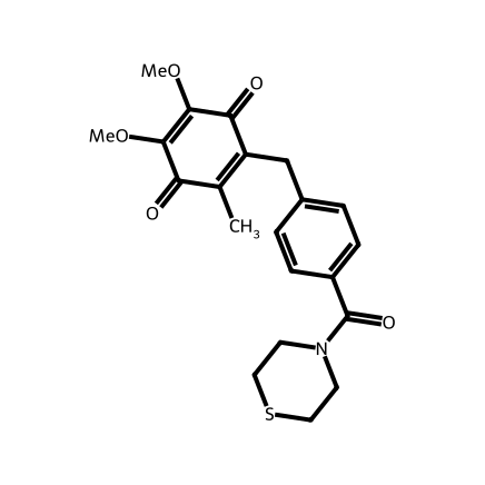 COC1=C(OC)C(=O)C(Cc2ccc(C(=O)N3CCSCC3)cc2)=C(C)C1=O